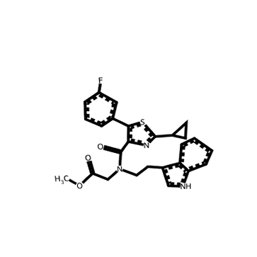 COC(=O)CN(CCc1c[nH]c2ccccc12)C(=O)c1nc(C2CC2)sc1-c1cccc(F)c1